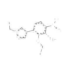 CCOc1c(-c2cnn(CC)c2)ccc([N+](=O)[O-])c1N